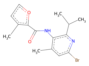 Cc1ccoc1C(=O)Nc1c(C)cc(Br)nc1C(C)C